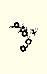 Cn1c(=O)n(-c2cccc(Cl)c2)c(=O)c2ccc(NC3CCN(Cc4ccccc4)CC3)cc21.O=C(O)C(F)(F)F